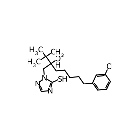 CC(C)(C)C(O)(CCCCCc1cccc(Cl)c1)Cn1ncnc1S